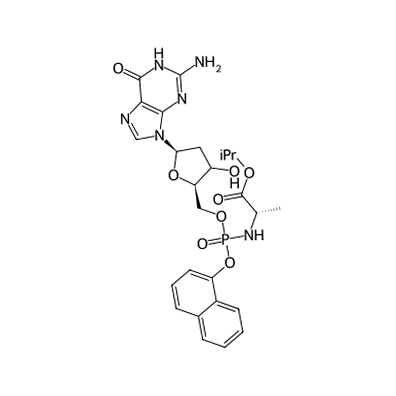 CC(C)OC(=O)[C@H](C)NP(=O)(OC[C@H]1O[C@@H](n2cnc3c(=O)[nH]c(N)nc32)CC1O)Oc1cccc2ccccc12